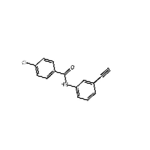 C#Cc1cccc(NC(=O)c2ccc(Cl)cc2)c1